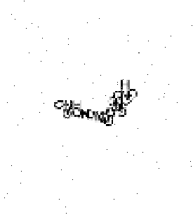 O=C1CCC(N2C(=O)c3cc4c(cc3C2=O)OCCN(C2CCN(c3ccc(C(=O)NC5CCCCC5)cc3)CC2)C4)C(=O)N1